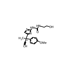 C#C[C@@](C)(c1ccc(OC)cc1)c1csc(NC(=O)NCCO)n1